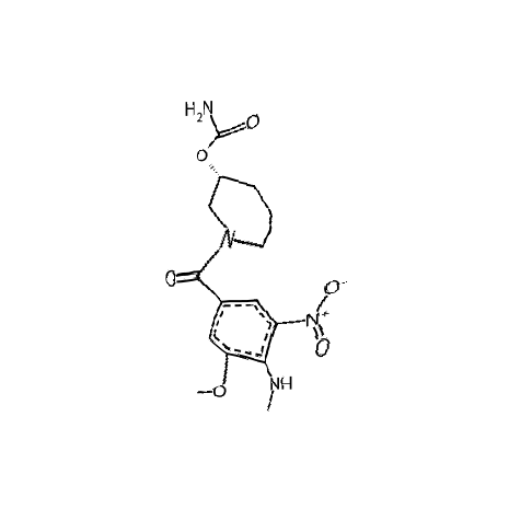 CNc1c(OC)cc(C(=O)N2CCC[C@@H](OC(N)=O)C2)cc1[N+](=O)[O-]